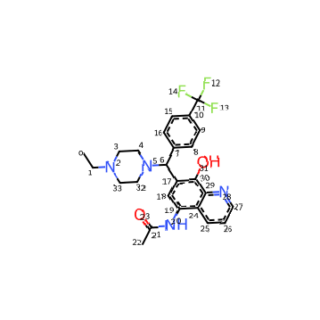 CCN1CCN(C(c2ccc(C(F)(F)F)cc2)c2cc(NC(C)=O)c3cccnc3c2O)CC1